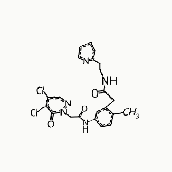 Cc1ccc(NC(=O)Cn2ncc(Cl)c(Cl)c2=O)cc1CC(=O)NCCc1ccccn1